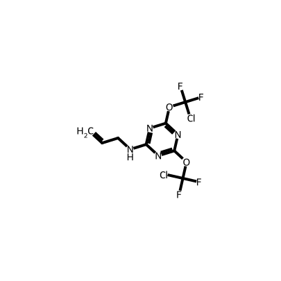 C=CCNc1nc(OC(F)(F)Cl)nc(OC(F)(F)Cl)n1